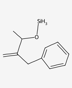 C=C(Cc1ccccc1)C(C)O[SiH3]